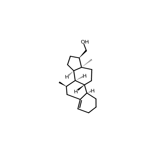 C[C@@H]1CC2=CCCC[C@@H]2[C@H]2CC[C@]3(C)[C@H](CO)CC[C@@H]3[C@@H]21